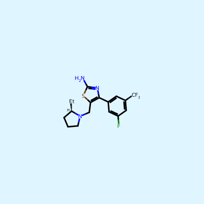 CC[C@@H]1CCCN1Cc1sc(N)nc1-c1cc(F)cc(C(F)(F)F)c1